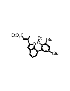 CCOC(=O)C=C(C)c1cc2cccc(-c3cc(C(C)(C)C)cc(C(C)(C)C)c3OCC)c2o1